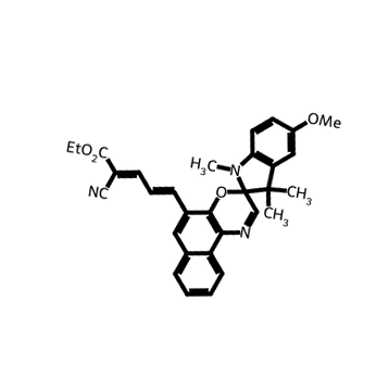 CCOC(=O)C(C#N)=CC=Cc1cc2ccccc2c2c1OC1(C=N2)N(C)c2ccc(OC)cc2C1(C)C